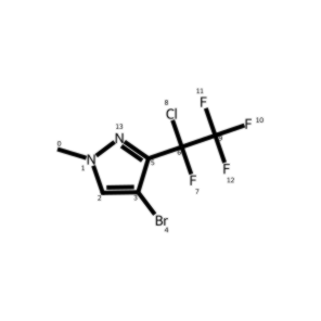 Cn1cc(Br)c(C(F)(Cl)C(F)(F)F)n1